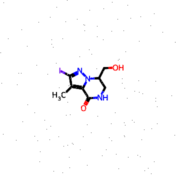 Cc1c(I)nn2c1C(=O)NCC2CO